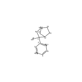 FC1(c2cnccn2)CN2CCC1C2